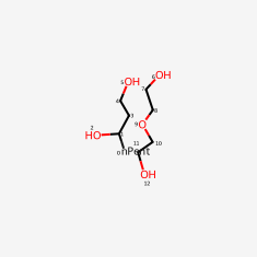 CCCCCC(O)CCO.OCCOCCO